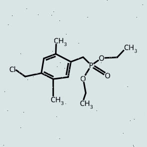 CCOP(=O)(Cc1cc(C)c(CCl)cc1C)OCC